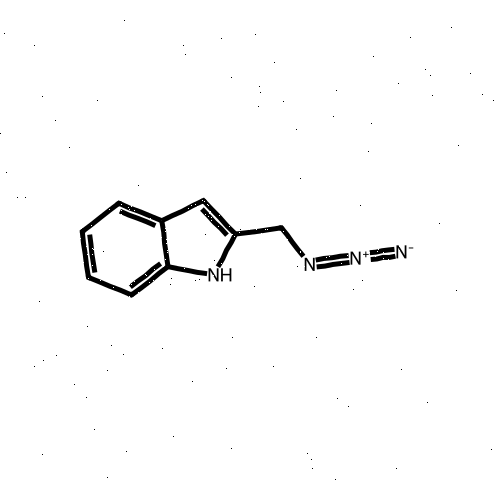 [N-]=[N+]=NCc1cc2ccccc2[nH]1